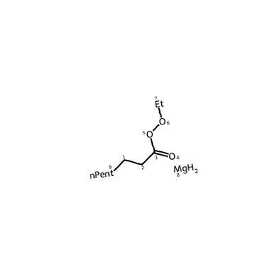 CCCCCCCC(=O)OOCC.[MgH2]